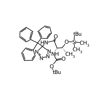 C[C@@H](O[Si](C)(C)C(C)(C)C)[C@H](NC(=O)OC(C)(C)C)C(=O)NC1(C(c2ccccc2)(c2ccccc2)c2ccccc2)N=NN=N1